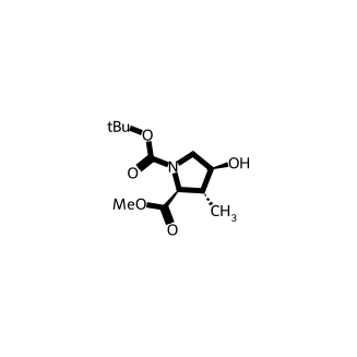 COC(=O)[C@@H]1[C@@H](C)[C@H](O)CN1C(=O)OC(C)(C)C